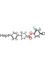 CCCCCCCc1ccc(C2CCC(C(=O)Oc3ccc(C#N)c(F)c3F)CC2)cc1